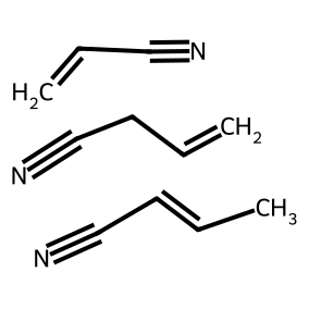 C=CC#N.C=CCC#N.CC=CC#N